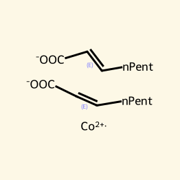 CCCCC/C=C/C(=O)[O-].CCCCC/C=C/C(=O)[O-].[Co+2]